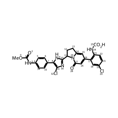 COC(=O)Nc1ccc(-c2[nH]c(C3CCc4cc(-c5cc(Cl)ccc5NC(=O)O)cc(=O)n43)nc2Cl)cc1